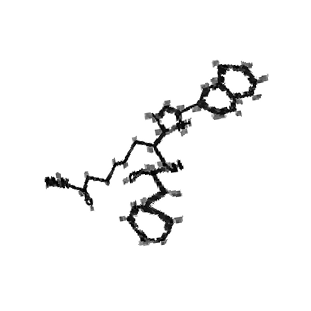 CNC(=O)CCCCCC(NC(=O)Cc1ccccc1)c1ncc(-c2ccc3ccccc3c2)[nH]1